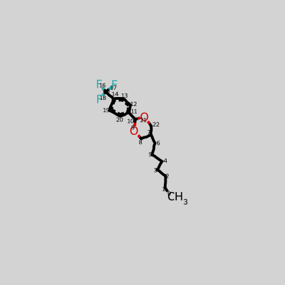 CCCCCCCC1COC(c2ccc(C(F)(F)F)cc2)OC1